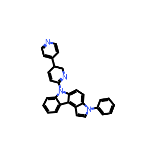 C1=CC(c2ccncc2)CN=C1n1c2ccccc2c2c3ccn(-c4ccccc4)c3ccc21